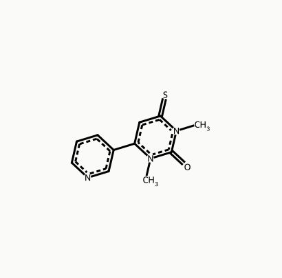 Cn1c(-c2cccnc2)cc(=S)n(C)c1=O